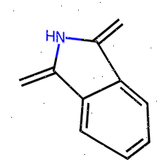 C=c1[nH]c(=C)c2ccccc12